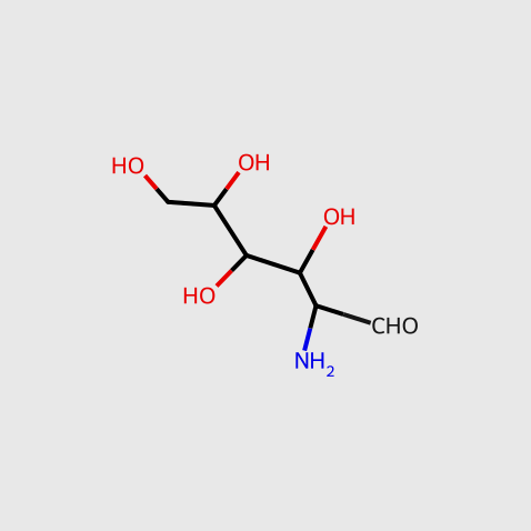 NC(C=O)C(O)C(O)C(O)CO